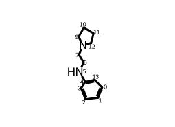 [c]1cccc(NCCN2CCCC2)c1